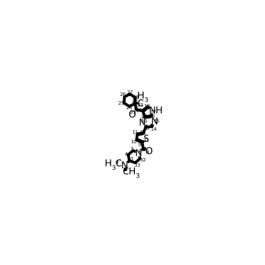 CN(C)C1CCN(C(=O)c2ccc(-c3cnc4[nH]cc(C(=O)C5(C)CCCCC5)c4n3)s2)CC1